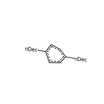 CCCCCCCCCCc1[c]cc(CCCCCCCCCC)cc1